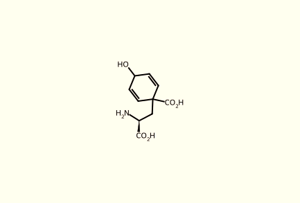 N[C@@H](CC1(C(=O)O)C=CC(O)C=C1)C(=O)O